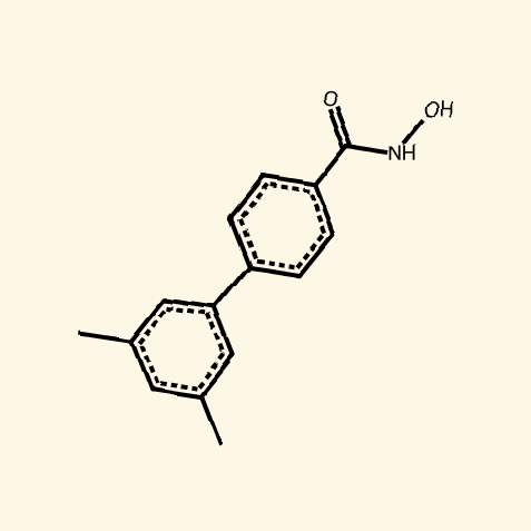 Cc1cc(C)cc(-c2ccc(C(=O)NO)cc2)c1